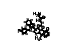 CN(c1nccc(=O)n1COC(=O)CNC(=O)CN)C1CCN(c2nc3c(n2Cc2ccc(F)cc2)=CCCC=3)CC1